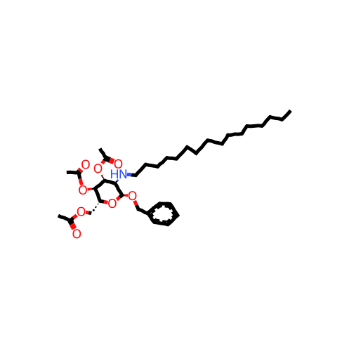 CCCCCCCCCCCCCCCCN[C@@H]1[C@@H](OCc2ccccc2)O[C@H](COC(C)=O)[C@@H](OC(C)=O)[C@@H]1OC(C)=O